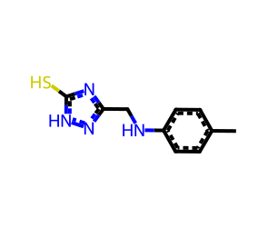 Cc1ccc(NCc2n[nH]c(S)n2)cc1